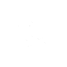 O=C(NC(c1cccc(Cl)c1)C(F)(F)F)c1cn(-c2ncc(F)cc2F)c2nc(N3CCCC3=O)ccc2c1=O